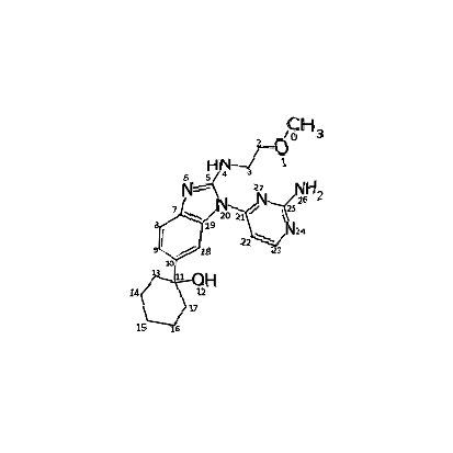 COCCNc1nc2ccc(C3(O)CCCCC3)cc2n1-c1ccnc(N)n1